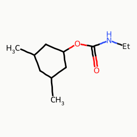 CCNC(=O)OC1CC(C)CC(C)C1